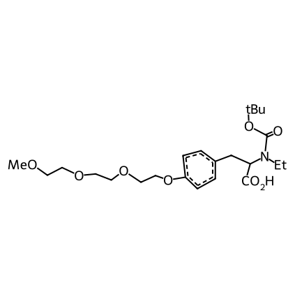 CCN(C(=O)OC(C)(C)C)C(Cc1ccc(OCCOCCOCCOC)cc1)C(=O)O